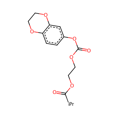 CC(C)C(=O)OCCOC(=O)Oc1ccc2c(c1)OCCO2